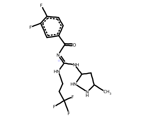 CC1CC(N/C(=N\C(=O)c2ccc(F)c(F)c2)NCCC(F)(F)F)NN1